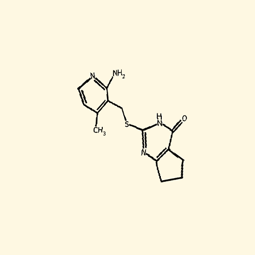 Cc1ccnc(N)c1CSc1nc2c(c(=O)[nH]1)CCC2